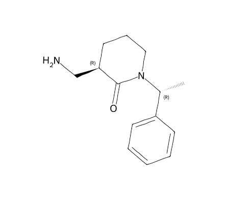 C[C@H](c1ccccc1)N1CCC[C@H](CN)C1=O